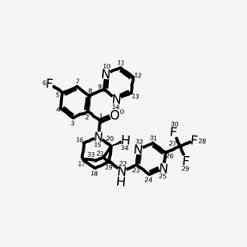 O=C(c1ccc(F)cc1-c1ncccn1)N1CC2CC[C@@H]1C(Nc1cnc(C(F)(F)F)cn1)C2